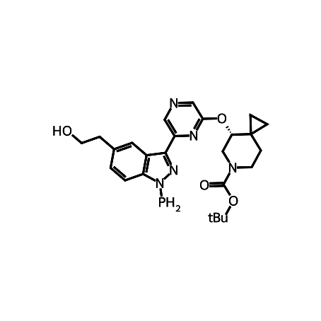 CC(C)(C)OC(=O)N1CCC2(CC2)[C@@H](Oc2cncc(-c3nn(P)c4ccc(CCO)cc34)n2)C1